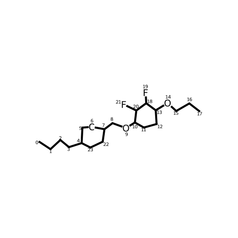 CCCCC1CCC(COC2CCC(OCCC)C(F)C2F)CC1